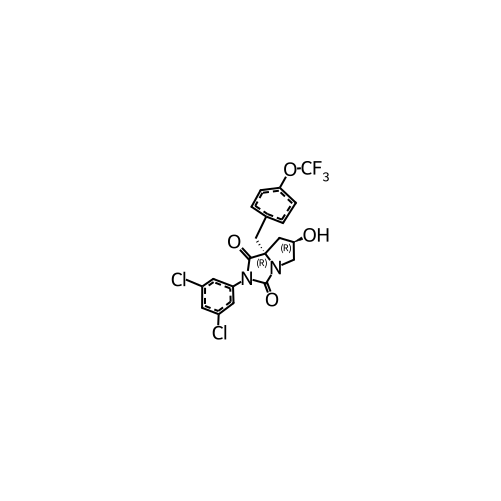 O=C1N(c2cc(Cl)cc(Cl)c2)C(=O)[C@@]2(Cc3ccc(OC(F)(F)F)cc3)C[C@@H](O)CN12